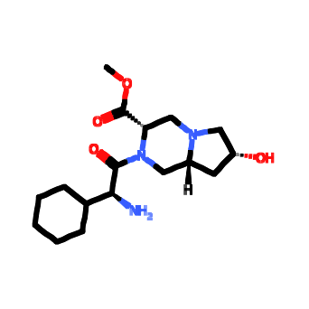 COC(=O)[C@@H]1CN2C[C@H](O)C[C@@H]2CN1C(=O)[C@@H](N)C1CCCCC1